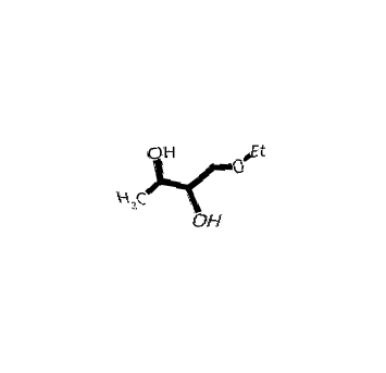 CCOCC(O)C(C)O